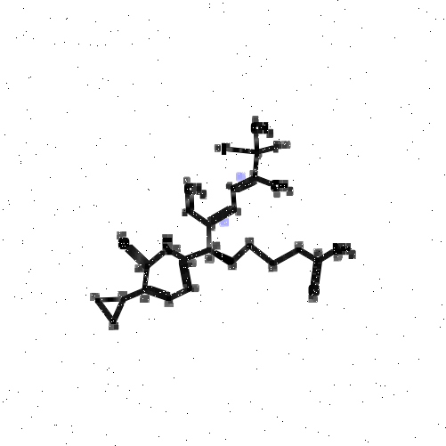 C=C/C(=C\C=C(/C)C(C)(F)F)[C@@H](CCCCC(N)=O)c1ccc(C2CC2)c(=O)[nH]1